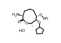 CCCO[C@H]1CCC[C@H](N)C(=O)O[C@@H](C)[C@@H]1OC1CCCC1.Cl